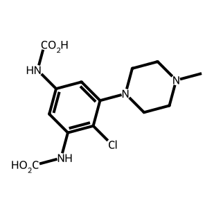 CN1CCN(c2cc(NC(=O)O)cc(NC(=O)O)c2Cl)CC1